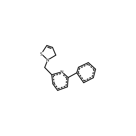 C1=CSN(Cc2cccc(-c3ccccc3)n2)C1